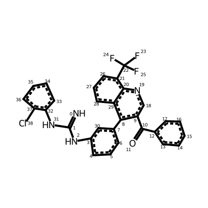 N=C(Nc1cccc(-c2c(C(=O)c3ccccc3)cnc3c(C(F)(F)F)cccc23)c1)Nc1ccccc1Cl